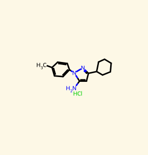 Cc1ccc(-n2nc(C3CCCCC3)cc2N)cc1.Cl